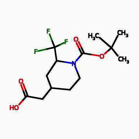 CC(C)(C)OC(=O)N1CCC(CC(=O)O)CC1C(F)(F)F